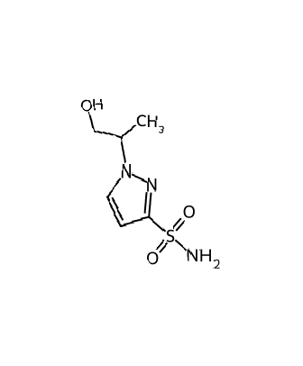 CC(CO)n1ccc(S(N)(=O)=O)n1